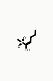 CCCC=C(O)S(C)(=O)=O